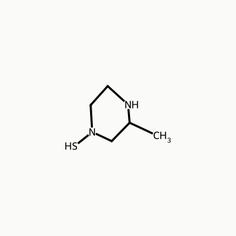 CC1CN(S)CCN1